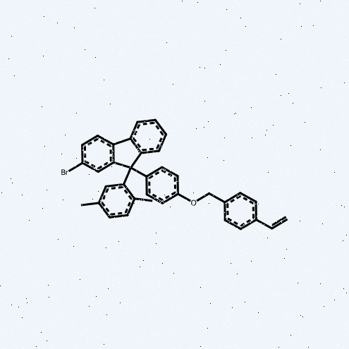 C=Cc1ccc(COc2ccc(C3(c4cc(C)ccc4C)c4ccccc4-c4ccc(Br)cc43)cc2)cc1